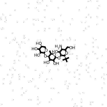 CC1O[C@@H](OC2C(O)[C@@H](N)C(CO)O[C@H]2C(C)(C)C)C(O)C(O)[C@H]1O[C@@H]1OC[C@@H](O)C(O)C1O